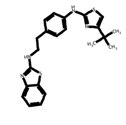 CC(C)(C)c1csc(Nc2ccc(CCNc3nc4ccccc4s3)cc2)n1